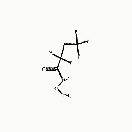 CONC(=O)C(F)(F)CC(F)(F)F